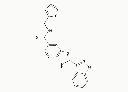 O=C(NCc1ccco1)c1ccc2[nH]c(-c3n[nH]c4ccccc34)cc2c1